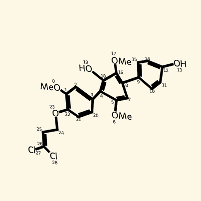 COc1cc(-c2c(OC)cc(-c3ccc(O)cc3)c(OC)c2O)ccc1OCC=C(Cl)Cl